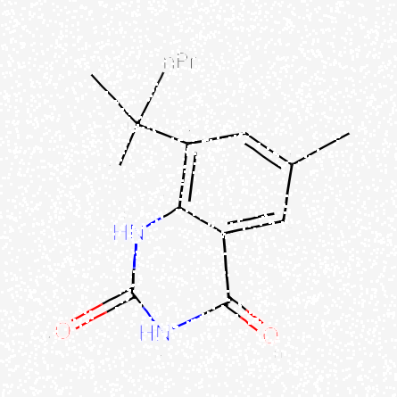 CCCC(C)(C)c1cc(C)cc2c(=O)[nH]c(=O)[nH]c12